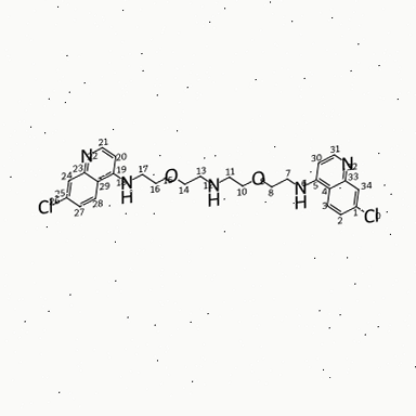 Clc1ccc2c(NCCOCCNCCOCCNc3ccnc4cc(Cl)ccc34)ccnc2c1